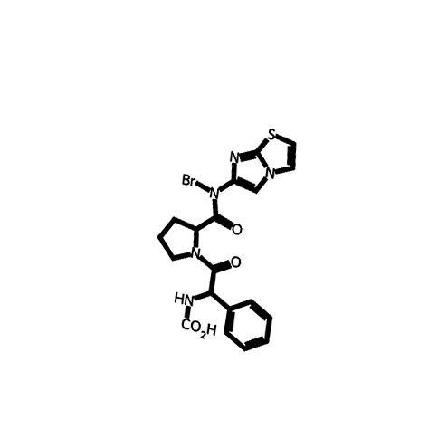 O=C(O)NC(C(=O)N1CCCC1C(=O)N(Br)c1cn2ccsc2n1)c1ccccc1